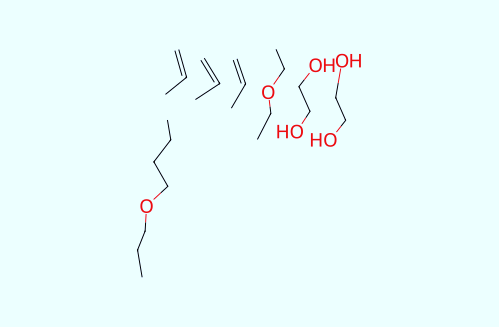 C=CC.C=CC.C=CC.CCCCOCCC.CCOCC.OCCO.OCCO